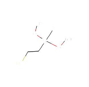 CCCO[Si](C)(CCS)OCCC